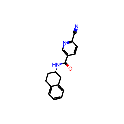 N#Cc1ccc(C(=O)N[C@H]2CCc3ccccc3C2)cn1